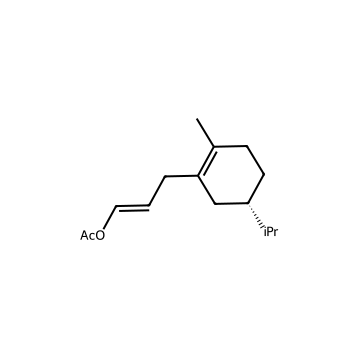 CC(=O)O/C=C/CC1=C(C)CC[C@H](C(C)C)C1